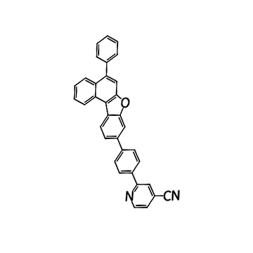 N#Cc1ccnc(-c2ccc(-c3ccc4c(c3)oc3cc(-c5ccccc5)c5ccccc5c34)cc2)c1